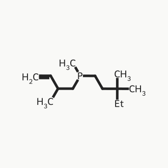 C=CC(C)CP(C)CCC(C)(C)CC